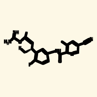 C/C(=C/[C@@H](CF)c1cc(NC(=O)c2ncc(C#N)cc2C)ccc1F)OC(=N)N